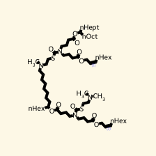 CCCCCC/C=C\COC(=O)CCCN(CCCC(=O)OC(CCCCCC)CCCCCCCCN(C)CCSC(=O)N(CCCC(=O)OC/C=C\CCCCCC)CCCC(=O)OC(CCCCCCC)CCCCCCCC)C(=O)SCCN(C)C